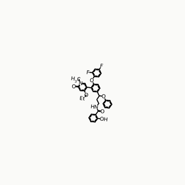 CCOc1cc(=O)n(C)cc1-c1cc(C(CCNC(=O)c2ccccc2O)Oc2ccccc2)ccc1Oc1ccc(F)cc1F